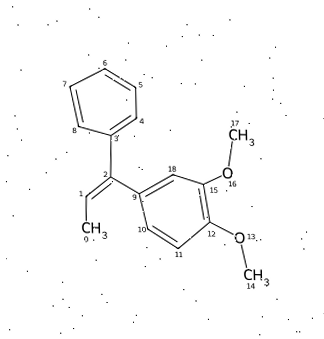 CC=C(c1ccccc1)c1ccc(OC)c(OC)c1